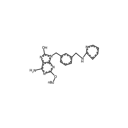 CCCCOc1nc(N)c2nc(O)n(Cc3cccc(CNc4ccccn4)c3)c2n1